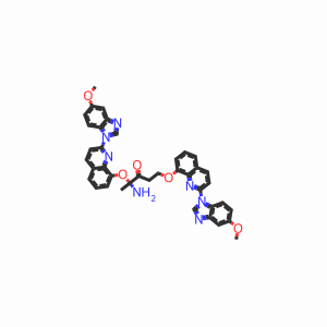 COc1ccc2c(c1)ncn2-c1ccc2cccc(OCCC(=O)C(C)(N)Oc3cccc4ccc(-n5cnc6cc(OC)ccc65)nc34)c2n1